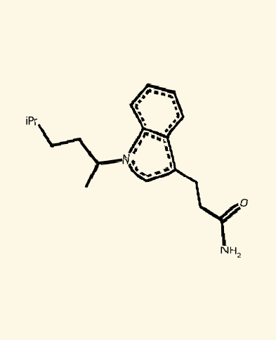 CC(C)CCC(C)n1cc(CCC(N)=O)c2ccccc21